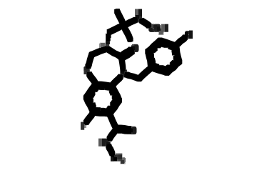 CC(C)(C[C@H]1CSc2cc(F)c(C(=O)NN)cc2N(Cc2ccc(Cl)cc2)C1=O)NC(=O)O